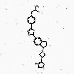 CC(C)Cc1ccc(-c2nc(-c3ccc4c(c3)CCC4N3CC(c4nnc[nH]4)C3)no2)cc1